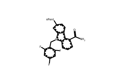 CCCCCc1c[c]c2c3c(C(N)=O)cccc3n(Cc3c(F)cc(F)cc3F)c2c1